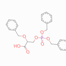 O=C(O)C(COP(=O)(OCc1ccccc1)OCc1ccccc1)OCc1ccccc1